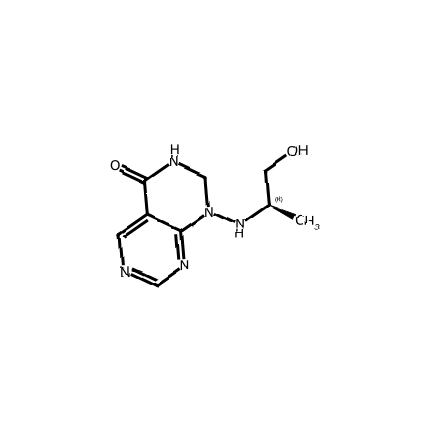 C[C@H](CO)NN1CNC(=O)c2cncnc21